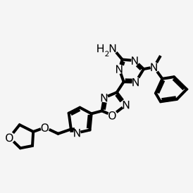 CN(c1ccccc1)c1nc(N)nc(-c2noc(-c3ccc(COC4CCOC4)nc3)n2)n1